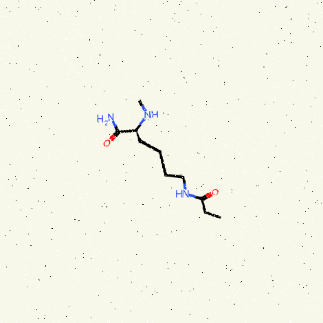 CCC(=O)NCCCC[C@H](NC)C(N)=O